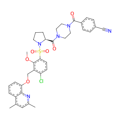 COc1c(S(=O)(=O)N2CCC[C@H]2C(=O)N2CCN(C(=O)c3ccc(C#N)cc3)CC2)ccc(Cl)c1COc1cccc2c(C)cc(C)nc12